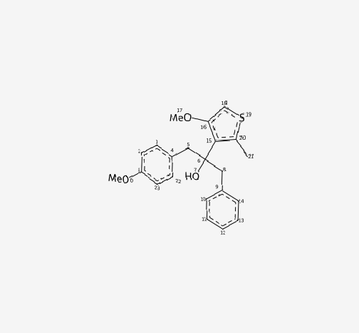 COc1ccc(CC(O)(Cc2ccccc2)c2c(OC)csc2C)cc1